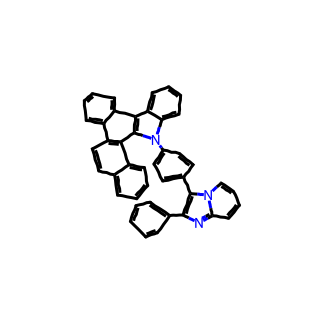 c1ccc(-c2nc3ccccn3c2-c2ccc(-n3c4ccccc4c4c5ccccc5c5ccc6ccccc6c5c43)cc2)cc1